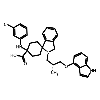 C[C@@H](COc1cccc2[nH]ccc12)CN1Cc2ccccc2C12CCC(Nc1cccc(Cl)c1)(C(=O)O)CC2